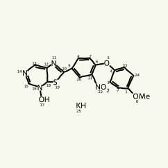 COc1ccc(Oc2ccc(C3=NC4=CN=CN(O)C4S3)cc2[N+](=O)[O-])cc1.[KH]